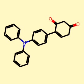 O=C1CC=C(c2ccc(N(c3ccccc3)c3ccccc3)cc2)C(=O)C1